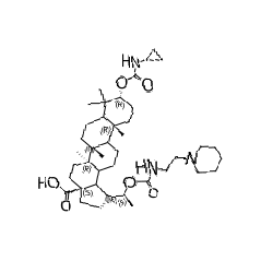 C[C@H](OC(=O)NCCN1CCCCC1)[C@@H]1CC[C@]2(C(=O)O)CC[C@]3(C)C(CCC4[C@@]5(C)CC[C@@H](OC(=O)NC6CC6)C(C)(C)C5CC[C@]43C)C12